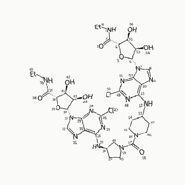 CCNC(=O)[C@H]1O[C@@H](n2cnc3c(NC4CCN(C(=O)N5CC[C@@H](Nc6nc(Cl)nc7c6ncn7[C@@H]6O[C@H](C(=O)NCC)[C@@H](O)[C@H]6O)C5)CC4)nc(Cl)nc32)[C@H](O)[C@@H]1O